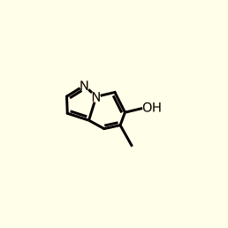 Cc1cc2ccnn2cc1O